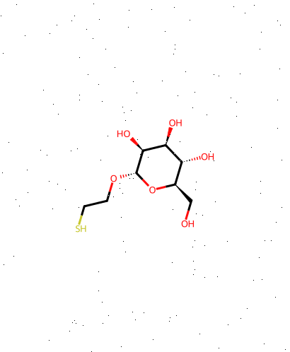 OC[C@H]1O[C@H](OCCS)[C@@H](O)[C@@H](O)[C@@H]1O